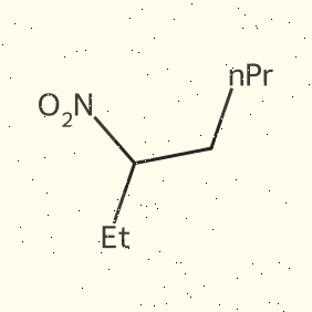 CCCCC(CC)[N+](=O)[O-]